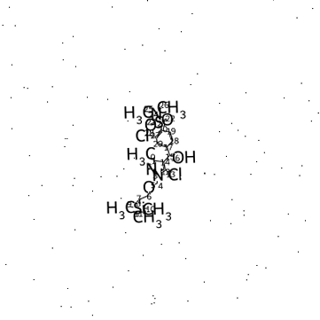 Cc1nn(COCC[Si](C)(C)C)c(Cl)c1C(O)c1ccc(S(=O)(=O)N(C)C)c(Cl)c1